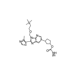 CC(C)NC(=O)OC1CCC(c2cnc3c(c2)nc(-c2ccnn2C)n3COCC[Si](C)(C)C)C1